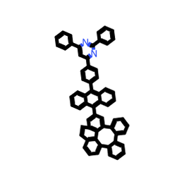 c1ccc(-c2cc(-c3ccc(-c4c5ccccc5c(-c5cc6ccc7cccc8c9ccccc9c9ccccc9c(c5)c6c78)c5ccccc45)cc3)nc(-c3ccccc3)n2)cc1